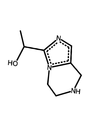 CC(O)c1ncc2n1CCNC2